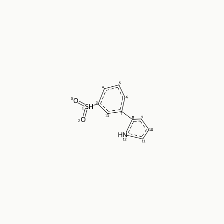 O=[SH](=O)c1cccc(-c2ccc[nH]2)c1